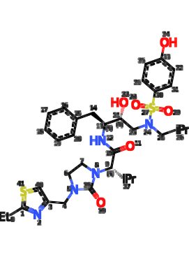 CCc1nc(CN2CCN([C@H](C(=O)N[C@@H](Cc3ccccc3)[C@H](O)CN(CC(C)C)S(=O)(=O)c3ccc(O)cc3)C(C)C)C2=O)cs1